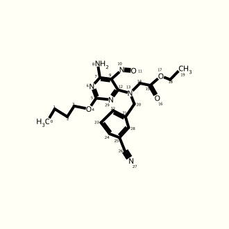 CCCCOc1nc(N)c(N=O)c(N(CC(=O)OCC)Cc2cccc(C#N)c2)n1